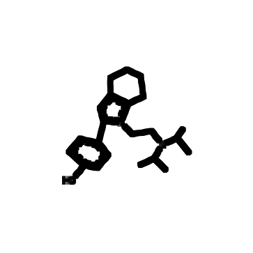 CC(C)N(CCn1c(-c2ccc(O)cc2)cc2c1CCCC2)C(C)C